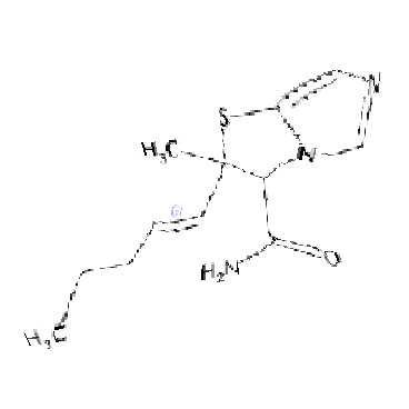 CCC/C=C/C1(C)Sc2cncn2C1C(N)=O